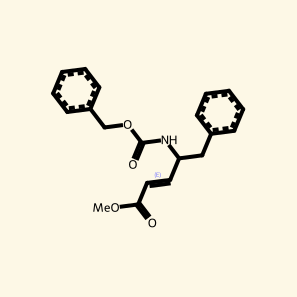 COC(=O)/C=C/C(Cc1ccccc1)NC(=O)OCc1ccccc1